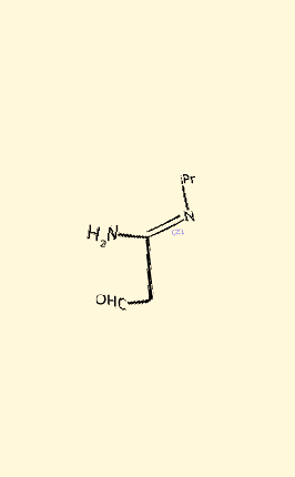 CC(C)/N=C(\N)CC=O